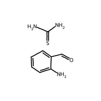 NC(N)=S.Nc1ccccc1C=O